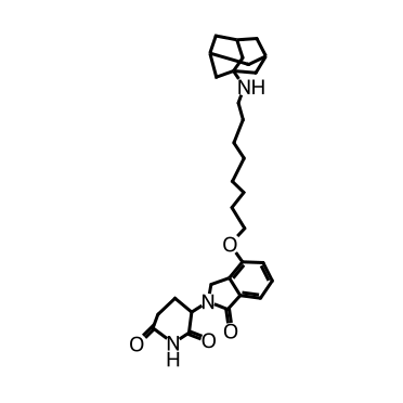 O=C1CCC(N2Cc3c(OCCCCCCCCNC45CC6CC(CC(C6)C4)C5)cccc3C2=O)C(=O)N1